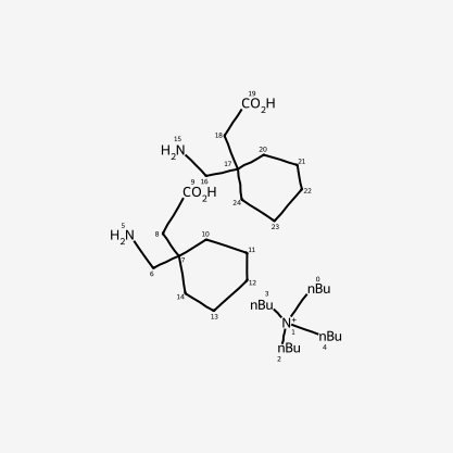 CCCC[N+](CCCC)(CCCC)CCCC.NCC1(CC(=O)O)CCCCC1.NCC1(CC(=O)O)CCCCC1